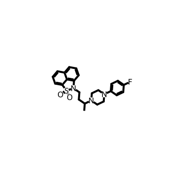 CC(CCN1c2cccc3cccc(c23)S1(=O)=O)N1CCN(c2ccc(F)cc2)CC1